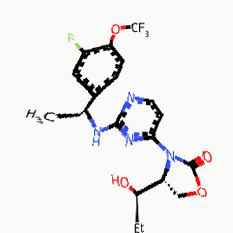 CC[C@@H](O)[C@H]1COC(=O)N1c1ccnc(N[C@@H](C)c2ccc(OC(F)(F)F)c(F)c2)n1